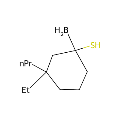 BC1(S)CCCC(CC)(CCC)C1